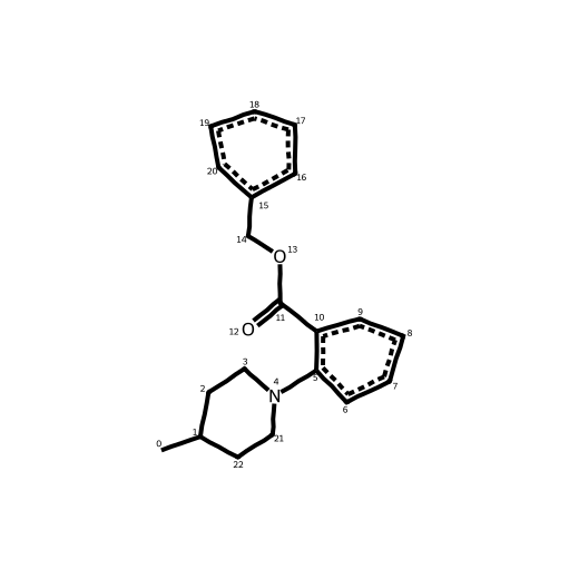 CC1CCN(c2ccccc2C(=O)OCc2ccccc2)CC1